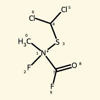 C[N+](F)(SC(Cl)Cl)C(=O)F